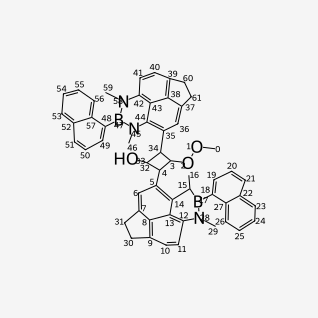 COOC1C(c2cc3c4c(ccc5c4c2C(C)B(c2cccc4ccccc24)N5C)CC3)C(O)C1c1cc2c3c(ccc4c3c1N(C)B(c1cccc3ccccc13)N4C)CC2